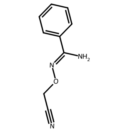 N#CCO/N=C(\N)c1ccccc1